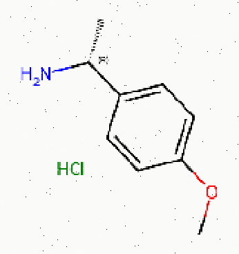 COc1ccc([C@@H](C)N)cc1.Cl